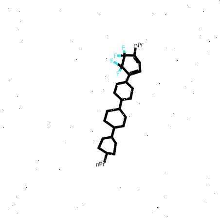 CCCC1=CC=C(C2CCC(C3CCC(C4CCC(CCC)CC4)CC3)CC2)C(F)(F)C1(F)F